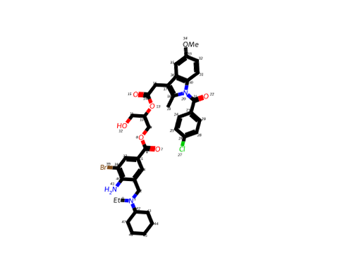 CCN(Cc1cc(C(=O)OCC(CO)OC(=O)Cc2c(C)n(C(=O)c3ccc(Cl)cc3)c3ccc(OC)cc23)cc(Br)c1N)C1CCCCC1